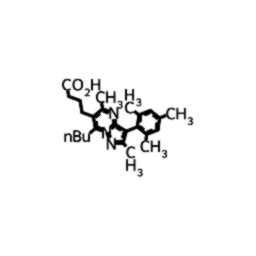 CCCCc1c(CCCC(=O)O)c(C)nc2c(-c3c(C)cc(C)cc3C)c(C)nn12